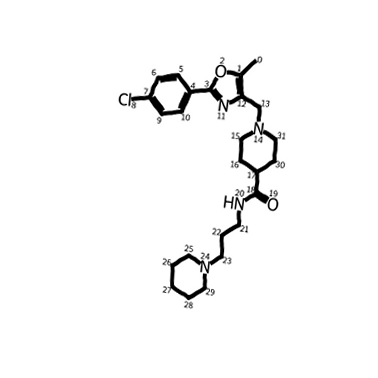 Cc1oc(-c2ccc(Cl)cc2)nc1CN1CCC(C(=O)NCCCN2CCCCC2)CC1